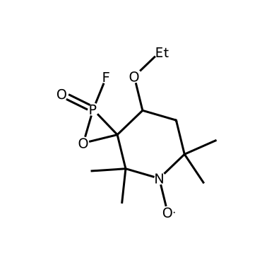 CCOC1CC(C)(C)N([O])C(C)(C)C12OP2(=O)F